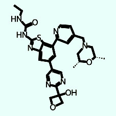 CCNC(=O)Nc1nc2cc(-c3cnc(C4(O)COC4)nc3)cc(-c3cc(CN4C[C@@H](C)O[C@@H](C)C4)ccn3)c2s1